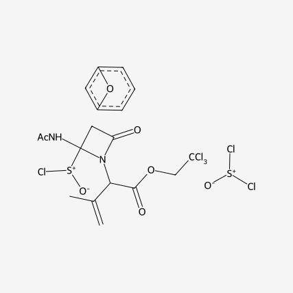 C=C(C)C(C(=O)OCC(Cl)(Cl)Cl)N1C(=O)CC1(NC(C)=O)[S+]([O-])Cl.[O-][S+](Cl)Cl.c1cc2cc(c1)O2